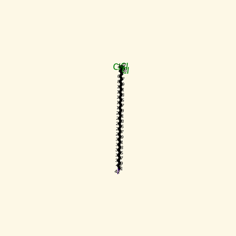 Cl[Si](Cl)(Cl)CCCCCCCCCCCCCCCCCCCCCCCCCCCCCCCCCCCCCCI